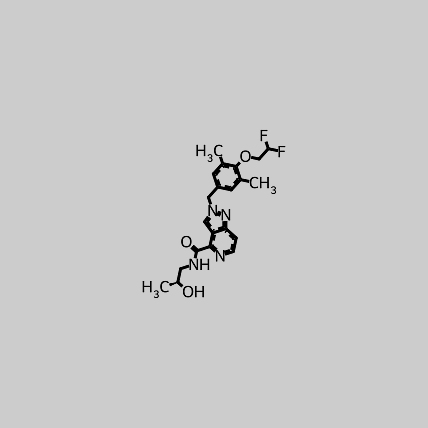 Cc1cc(Cn2cc3c(C(=O)NC[C@H](C)O)nccc3n2)cc(C)c1OCC(F)F